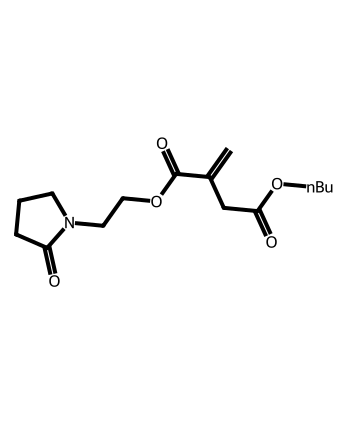 C=C(CC(=O)OCCCC)C(=O)OCCN1CCCC1=O